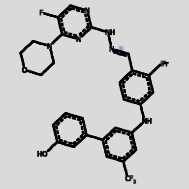 CC(C)c1cc(Nc2cc(-c3cccc(O)c3)cc(C(F)(F)F)c2)ccc1/C=N/Nc1ncc(F)c(N2CCOCC2)n1